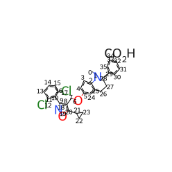 CN1c2ccc(OCc3c(-c4c(Cl)cccc4Cl)noc3C3CC3)cc2CCC1c1cccc(C(=O)O)c1